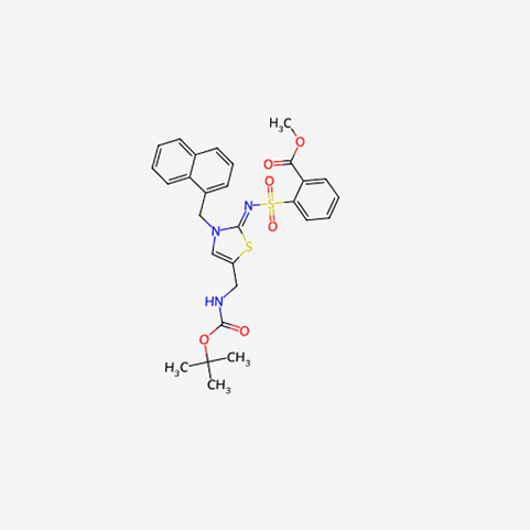 COC(=O)c1ccccc1S(=O)(=O)N=c1sc(CNC(=O)OC(C)(C)C)cn1Cc1cccc2ccccc12